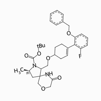 C[C@@H]1CC2(COCC(=O)N2)C(COC2CC=C(c3c(F)cccc3OCc3ccccc3)CC2)N1C(=O)OC(C)(C)C